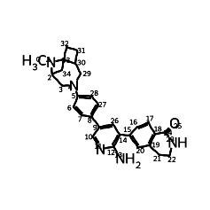 CN1C2CN(c3ccc(-c4cnc(N)c(-c5ccc6c(c5)CCNC6=O)c4)cc3)CC3CCC31C2